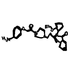 CCOc1ccccc1-n1c(CCN2CCN(C(=O)COc3ccc(N)cc3)CC2)nc2ccccc2c1=O